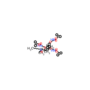 C=CC(=O)N(CCCCCCCC)CCC[C@@H](C)[C@H]1CC[C@H]2C3[C@H](OCCCNC(=O)OCC4c5ccccc5-c5ccccc54)CC4C[C@H](OCCCNC(=O)OCC5c6ccccc6-c6ccccc65)CCC4(C)[C@H]3C[C@H](OCCCNC(=O)OCC3c4ccccc4-c4ccccc43)C12C